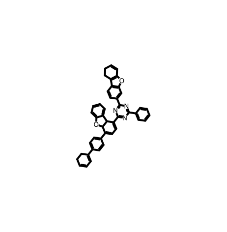 C1=CCCC(c2ccc(C3=CC=C(c4nc(-c5ccccc5)nc(-c5ccc6c7c(oc6c5)C=CCC7)n4)C4c5ccccc5OC34)cc2)=C1